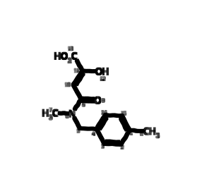 Cc1ccc(CN(C)C(=O)C=C(O)C(=O)O)cc1